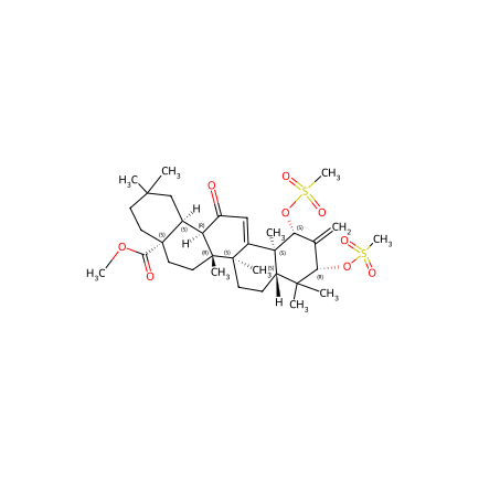 C=C1[C@@H](OS(C)(=O)=O)[C@]2(C)C3=CC(=O)[C@@H]4[C@@H]5CC(C)(C)CC[C@]5(C(=O)OC)CC[C@@]4(C)[C@]3(C)CC[C@H]2C(C)(C)[C@H]1OS(C)(=O)=O